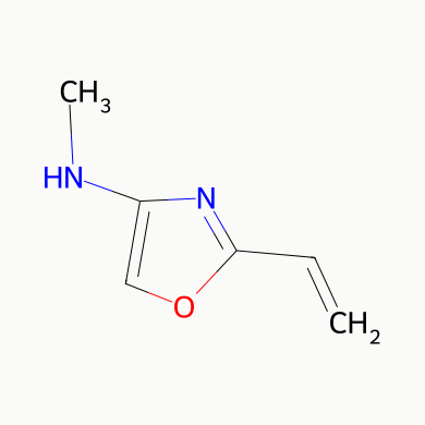 C=Cc1nc(NC)co1